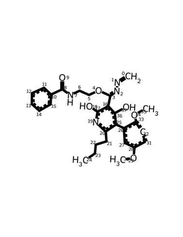 C=N/N=C(\OCCNC(=O)c1ccccc1)c1c(O)nc(CCCC)c(-c2cc(OC)ccc2OC)c1O